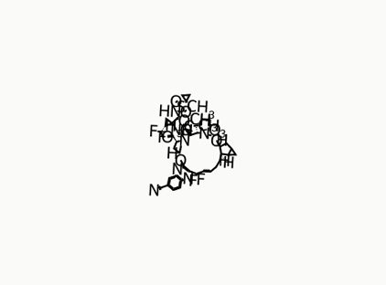 CC(C)(C)[C@@H]1NC(=O)O[C@@H]2CC3C[C@@H]3[C@H]2CC/C=C/C(F)(F)c2nc3ccc(C#N)cc3nc2O[C@@H]2C[C@@H](C(=O)N[C@]3(C(=O)NS(=O)(=O)C4(C)CC4)C[C@H]3C(F)F)N(C2)C1=O